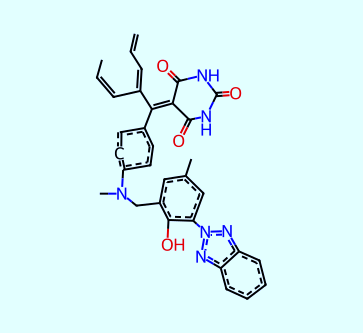 C=C/C=C(\C=C/C)C(=C1C(=O)NC(=O)NC1=O)c1ccc(N(C)Cc2cc(C)cc(-n3nc4ccccc4n3)c2O)cc1